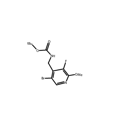 COc1ncc(Br)c(CNC(=O)OC(C)(C)C)c1F